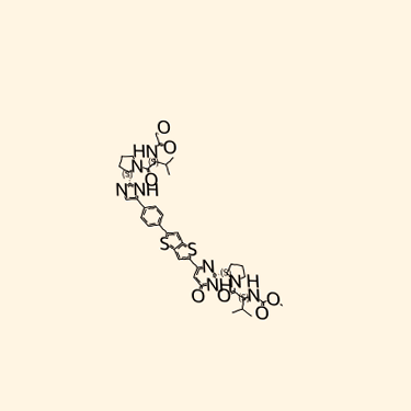 COC(=O)N[C@H](C(=O)N1CCC[C@H]1c1nc(-c2cc3sc(-c4ccc(-c5cnc([C@@H]6CCCN6C(=O)[C@@H](NC(=O)C=O)C(C)C)[nH]5)cc4)cc3s2)cc(=O)[nH]1)C(C)C